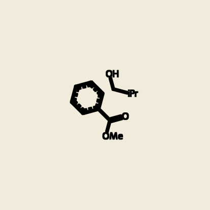 CC(C)CO.COC(=O)c1ccccc1